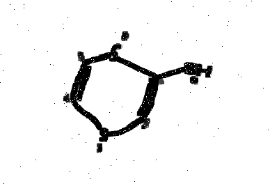 SC1=CSC=CS1